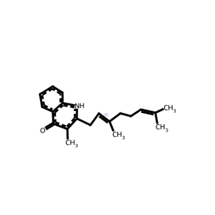 CC(C)=CCC/C(C)=C/Cc1[nH]c2ccccc2c(=O)c1C